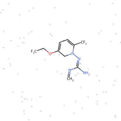 C=N/C(N)=N\N1CC(OCC(F)(F)F)=CC=C1C(F)(F)F